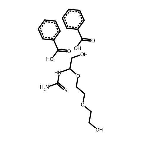 NC(=S)NC(CO)OCCOCCO.O=C(O)c1ccccc1.O=C(O)c1ccccc1